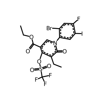 CCOC(=O)c1cn(-c2cc(I)c(F)cc2Br)c(=O)c(CC)c1OS(=O)(=O)C(F)(F)F